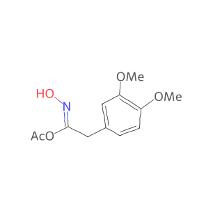 COc1ccc(CC(=NO)OC(C)=O)cc1OC